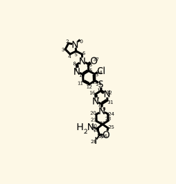 CN1CCCC1Cn1cnc2ccc(Sc3cnc(N4CCC5(CC4)CO[C@@H](I)[C@H]5N)cn3)c(Cl)c2c1=O